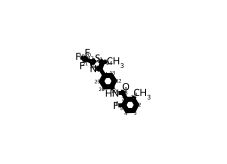 Cc1cccc(F)c1C(=O)Nc1ccc(-c2nc(C(F)(F)F)sc2C)cc1